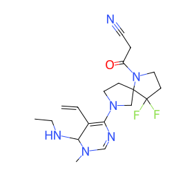 C=CC1=C(N2CCC3(C2)N(C(=O)CC#N)CCC3(F)F)N=CN(C)C1NCC